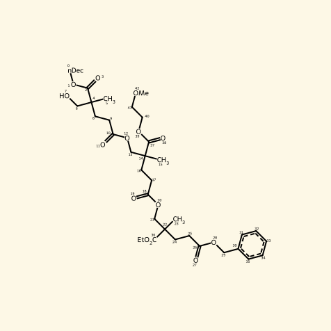 CCCCCCCCCCOC(=O)C(C)(CO)CCC(=O)OCC(C)(CCC(=O)OCC(C)(CCC(=O)OCc1ccccc1)C(=O)OCC)C(=O)OCCOC